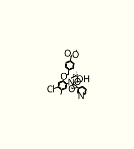 COC(=O)c1ccc(COc2cc(Cl)c(C)cc2N(C[C@H](C)O)S(=O)(=O)c2cccnc2)cc1